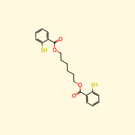 O=C(OCCCCCCOC(=O)c1ccccc1S)c1ccccc1S